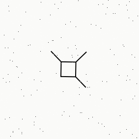 [CH2]C1CC(C)C1C